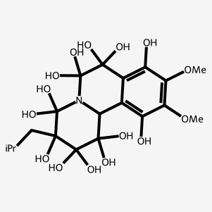 COc1c(O)c2c(c(O)c1OC)C(O)(O)C(O)(O)N1C2C(O)(O)C(O)(O)C(O)(CC(C)C)C1(O)O